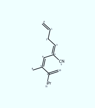 C=CC/C=C(C#N)\C=C(\C)C(=C)C(C)C